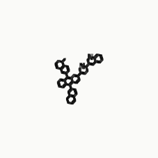 CC1CC=Cc2cc(-c3c4ccccc4c(-c4ccc5c(c4)CCC=C5)c4ccc(C5=CCC(c6cnc7ccccc7c6)N=C5)cc34)ccc21